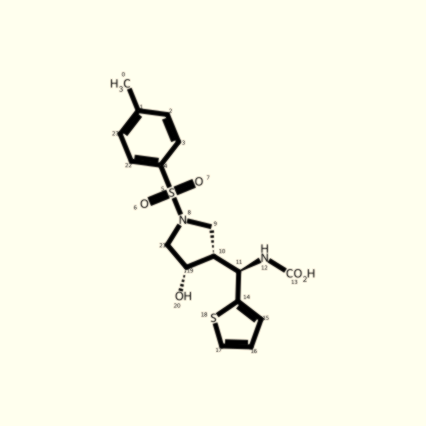 Cc1ccc(S(=O)(=O)N2C[C@H]([C@@H](NC(=O)O)c3cccs3)[C@H](O)C2)cc1